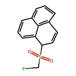 O=S(=O)(CF)C1C=Cc2cccc3cccc1c23